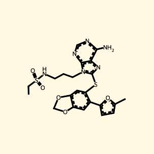 CCS(=O)(=O)NCCCn1c(Sc2cc3c(cc2-c2ccc(C)o2)OCO3)nc2c(N)ncnc21